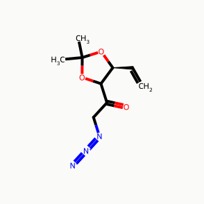 C=C[C@@H]1OC(C)(C)OC1C(=O)CN=[N+]=[N-]